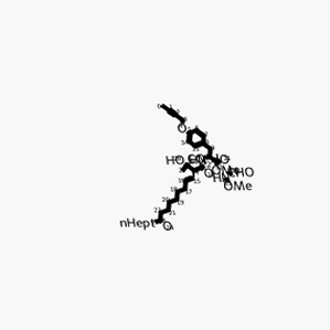 CC#CCOc1ccc(CC(NC(=O)[C@@H](C=CCCCCCCC(=O)CCCCCCC)[C@](C)(O)C(=O)O)C(=O)OC)cc1.CONC=O